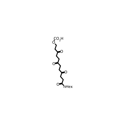 CCCCCCC(=O)CCC(=O)CCC(=O)CCC(=O)CCOC(=O)O